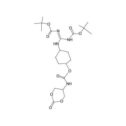 CC(C)(C)OC(=O)/N=C(/NC(=O)OC(C)(C)C)NC1CCC(OC(=O)NC2COC(=O)OC2)CC1